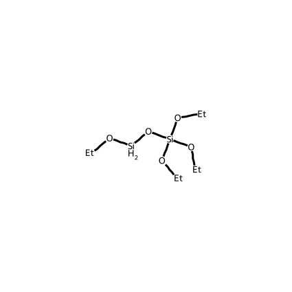 CCO[SiH2]O[Si](OCC)(OCC)OCC